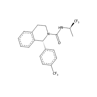 C[C@@H](NC(=O)N1CCc2ccccc2[C@H]1c1ccc(C(F)(F)F)cc1)C(F)(F)F